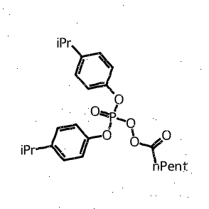 CCCCCC(=O)OOP(=O)(Oc1ccc(C(C)C)cc1)Oc1ccc(C(C)C)cc1